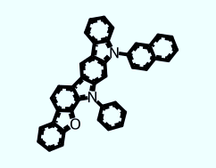 c1ccc(-n2c3cc4c(cc3c3ccc5c6ccccc6oc5c32)c2ccccc2n4-c2ccc3ccccc3c2)cc1